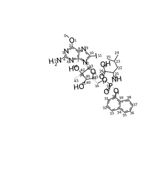 COc1nc(N)nc2c1nc(I)n2[C@@H]1O[C@H](COP(=O)(NC(CC(C)C)C(=O)O)Oc2cccc3ccccc23)[C@@H](O)[C@@]1(C)O